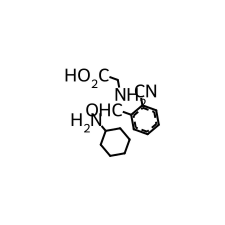 N#Cc1ccccc1C=O.NC1CCCCC1.NCC(=O)O